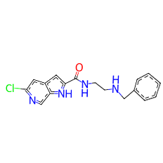 O=C(NCCNCc1ccccc1)c1cc2cc(Cl)ncc2[nH]1